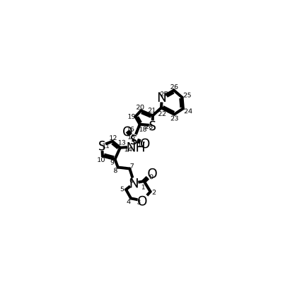 O=C1COCCN1CCc1cscc1NS(=O)(=O)c1ccc(-c2ccccn2)s1